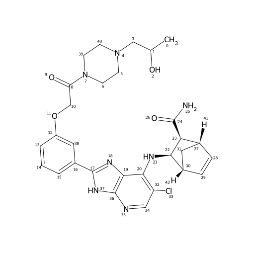 CC(O)CN1CCN(C(=O)COc2cccc(-c3nc4c(N[C@H]5[C@@H](C(N)=O)[C@@H]6C=C[C@H]5C6)c(Cl)cnc4[nH]3)c2)CC1